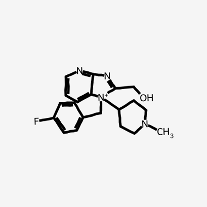 CN1CCC([N+]2(Cc3ccc(F)cc3)C(CO)=Nc3ncccc32)CC1